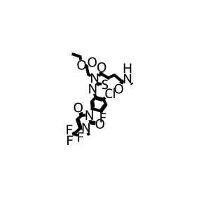 CCOC(=O)CN1C(=O)C(CC(=O)NC)SC1=Nc1cc(-n2c(=O)cc(C(F)(F)F)n(C)c2=O)c(F)cc1Cl